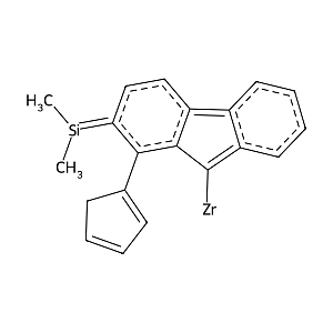 C[Si](C)=c1ccc2c(c1C1=CC=CC1)[C]([Zr])=c1ccccc1=2